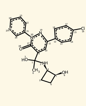 CC(O)(N[C@@H]1CC[C@@H]1O)c1cc(-c2ccc(Cl)cc2)nn(-c2cccnc2)c1=O